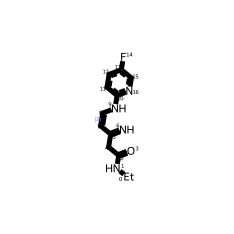 CCNC(=O)CC(=N)/C=C\Nc1ccc(F)cn1